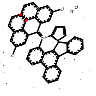 Clc1cc([C](c2cc(Cl)cc3ccccc23)=[Zr+2]([C]2=CC=CC2)[c]2cccc3c2c2c(c4ccccc43)-c3ccccc3C2)c2ccccc2c1.[Cl-].[Cl-]